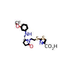 O=C(O)c1csc(SCCN2C(=O)CC[C@@H]2CNc2cccc(OC(F)(F)F)c2)n1